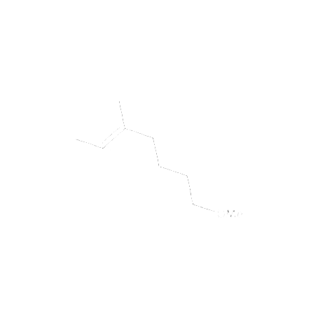 [CH2]OCCCCC(C)=CC